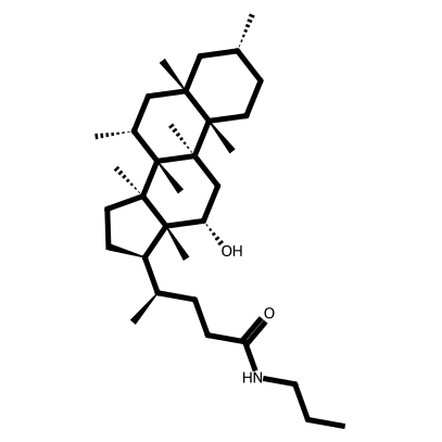 CCCNC(=O)CC[C@@H](C)[C@H]1CC[C@]2(C)[C@]1(C)[C@@H](O)C[C@]1(C)[C@@]3(C)CC[C@@H](C)C[C@@]3(C)C[C@@H](C)[C@@]21C